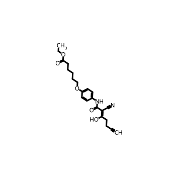 C#CCC/C(O)=C(\C#N)C(=O)Nc1ccc(OCCCCCC(=O)OCC)cc1